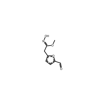 COC(Cc1ccc(C=O)o1)=NO